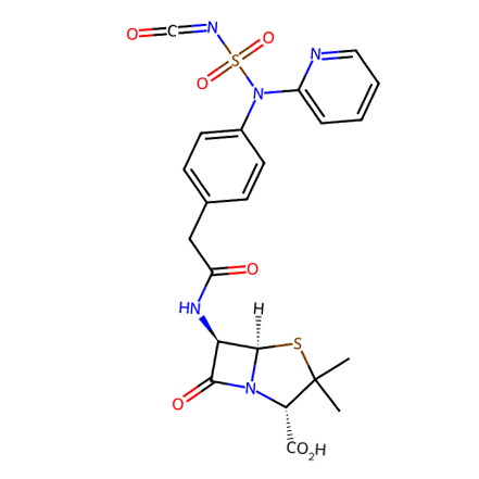 CC1(C)S[C@@H]2[C@H](NC(=O)Cc3ccc(N(c4ccccn4)S(=O)(=O)N=C=O)cc3)C(=O)N2[C@H]1C(=O)O